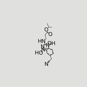 CC(C)OC(=O)CCNc1n[n+](O)c2cc(CC#N)ccc2[n+]1O